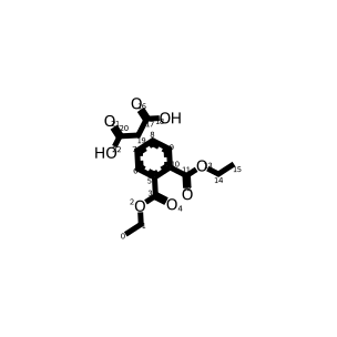 CCOC(=O)c1ccccc1C(=O)OCC.O=C(O)CC(=O)O